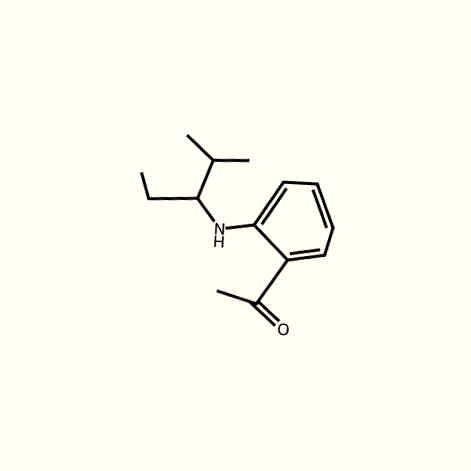 CCC(Nc1ccccc1C(C)=O)C(C)C